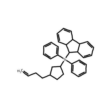 C=CCCC1CCC([Si](c2ccccc2)(c2ccccc2)C2C3C=CC=CC3C3C=CC=CC32)C1